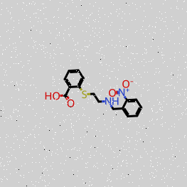 O=C(O)c1ccccc1SCCNCc1ccccc1[N+](=O)[O-]